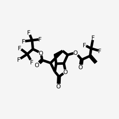 C=C(C(=O)OC1C2CC3C1OC(=O)C3C2C(=O)OC(C(F)(F)F)C(F)(F)F)C(F)(F)F